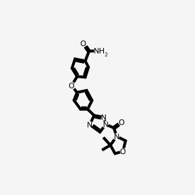 CC1(C)COCN1C(=O)n1cnc(-c2ccc(Oc3ccc(C(N)=O)cc3)cc2)n1